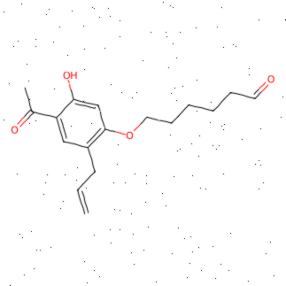 C=CCc1cc(C(C)=O)c(O)cc1OCCCCCC=O